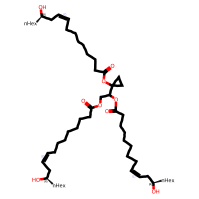 CCCCCC[C@@H](O)C/C=C\CCCCCCCC(=O)OCC(OC(=O)CCCCCCC/C=C\C[C@H](O)CCCCCC)C1(OC(=O)CCCCCCC/C=C\C[C@H](O)CCCCCC)CC1